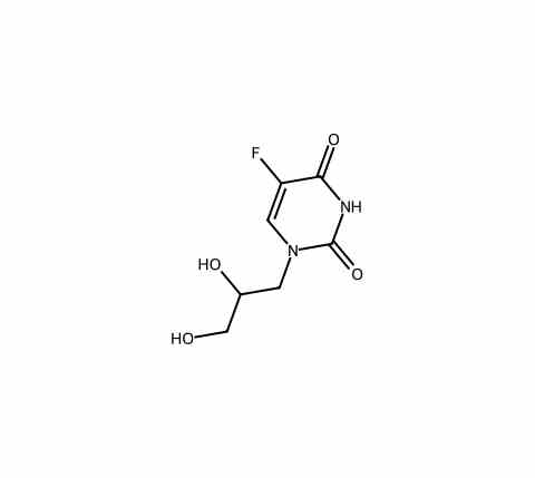 O=c1[nH]c(=O)n(CC(O)CO)cc1F